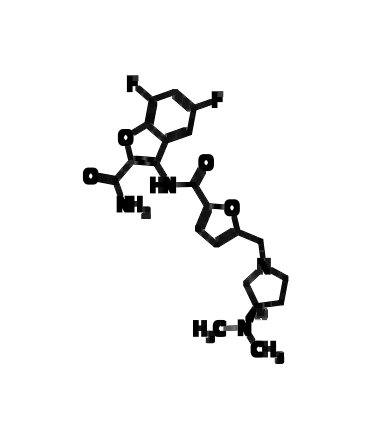 CN(C)[C@@H]1CCN(Cc2ccc(C(=O)Nc3c(C(N)=O)oc4c(F)cc(F)cc34)o2)C1